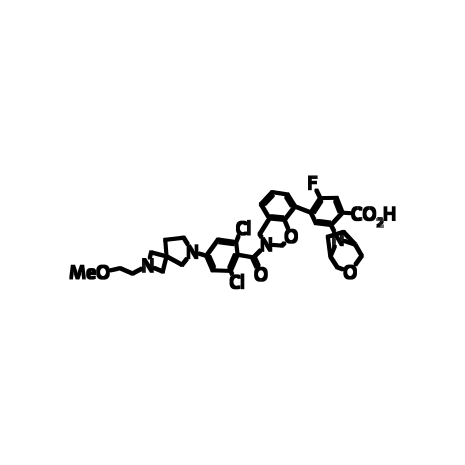 COCCN1CC2(CCN(c3cc(Cl)c(C(=O)N4COc5c(cccc5-c5cc(N6C7CCC6COC7)c(C(=O)O)cc5F)C4)c(Cl)c3)C2)C1